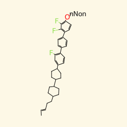 C/C=C/CCC1CCC(C2CCC(c3ccc(-c4ccc(-c5ccc(OCCCCCCCCC)c(F)c5F)cc4)c(F)c3)CC2)CC1